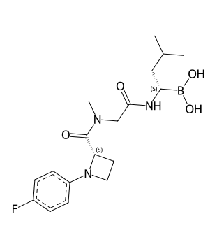 CC(C)C[C@@H](NC(=O)CN(C)C(=O)[C@@H]1CCN1c1ccc(F)cc1)B(O)O